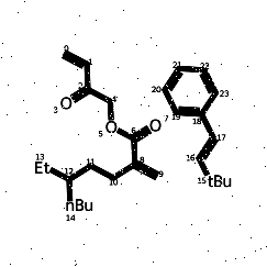 C=CC(=O)COC(=O)C(=C)CCC(CC)CCCC.CC(C)(C)C=Cc1ccccc1